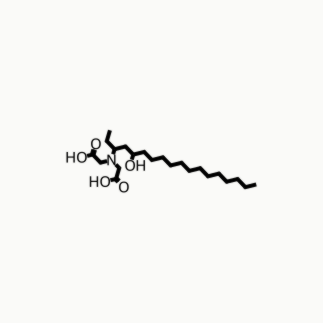 CCCCCCCCCCCCCC(O)CC(CC)N(CC(=O)O)CC(=O)O